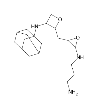 NCCCNC1OC1CC1OCC1NC12CC3CC(CC(C3)C1)C2